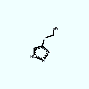 CCCCSc1c[nH]nn1